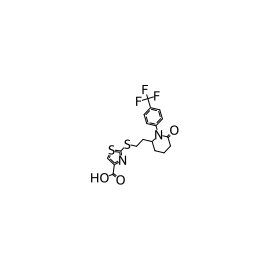 O=C(O)c1csc(SCCC2CCCC(=O)N2c2ccc(C(F)(F)F)cc2)n1